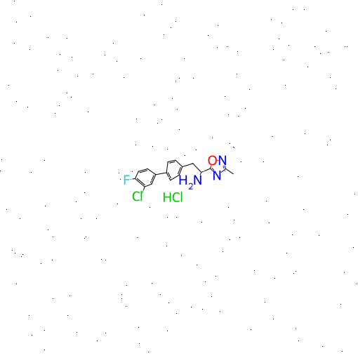 Cc1noc(C(N)Cc2ccc(-c3ccc(F)c(Cl)c3)cc2)n1.Cl